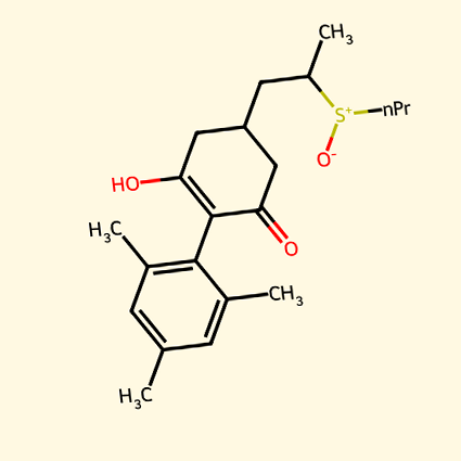 CCC[S+]([O-])C(C)CC1CC(=O)C(c2c(C)cc(C)cc2C)=C(O)C1